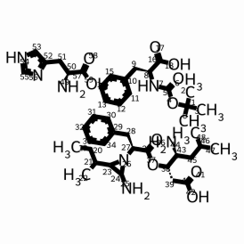 CC(C)(C)OC(=O)N[C@@H](Cc1ccccc1)C(=O)O.CCC(C)C1C(N)N1[C@@H](Cc1ccccc1)C(=O)O[C@@H](CC(=O)O)[C@@H](N)CC(C)C.N[C@@H](Cc1c[nH]cn1)C(=O)O